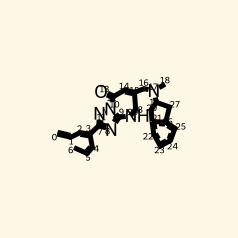 C=C/C=C(\C=C/C)c1nc2n(n1)C(=O)C=C(CN(C)C1Cc3ccccc3C1)CN2